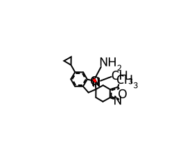 Cc1onc2c1CC1(CC2)Cc2ccc(C3CC3)cc2C12N=C(N)N(C)O2